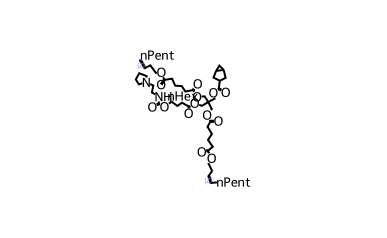 CCCCC/C=C\CCOC(=O)CCCCC(=O)OCC(COC(=O)CCCCC(=O)OCC/C=C\CCCCC)(COC(=O)CCC(CCCCCC)OC(=O)NCCN1CCCC1)COC(=O)C1CC2CC2C1